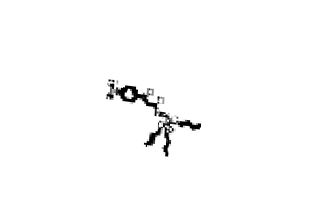 CCCCO[PH](N=NC(Cl)CC(Cl)c1ccc([N+](=O)[O-])cc1)(OCCCC)OCCCC